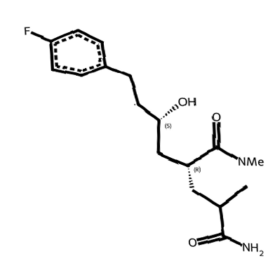 CNC(=O)[C@H](CC(C)C(N)=O)C[C@@H](O)[CH]Cc1ccc(F)cc1